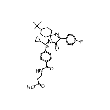 CC(C)(C)C1CCC2(CC1)N=C(c1ccc(F)cc1)C(=O)N2[C@@H](c1ccc(C(=O)NCCC(=O)O)cc1)C1CC1